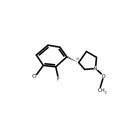 CON1CC[C@@H](c2cccc(Cl)c2F)C1